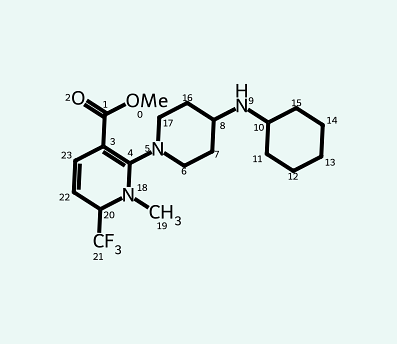 COC(=O)C1=C(N2CCC(NC3CCCCC3)CC2)N(C)C(C(F)(F)F)C=C1